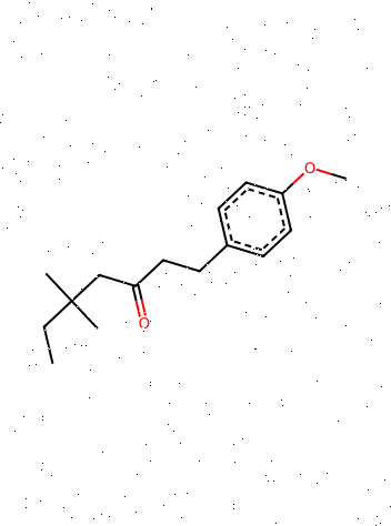 CCC(C)(C)CC(=O)CCc1ccc(OC)cc1